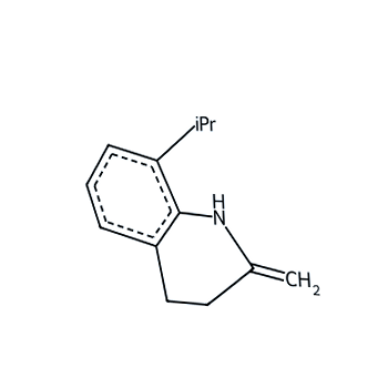 C=C1CCc2cccc(C(C)C)c2N1